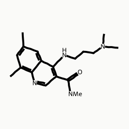 CNC(=O)c1cnc2c(C)cc(C)cc2c1NCCCN(C)C